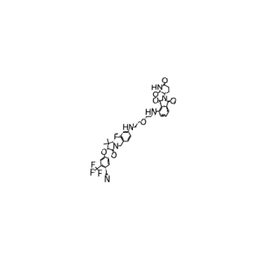 CC1(C)CN(Cc2ccc(NCCOCCNc3cccc4c3C(=O)N(C3CCC(=O)NC3=O)C4=O)cc2F)C(=O)C1Oc1ccc(C#N)c(C(F)(F)F)c1